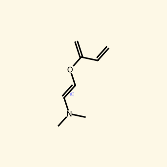 C=CC(=C)O/C=C/N(C)C